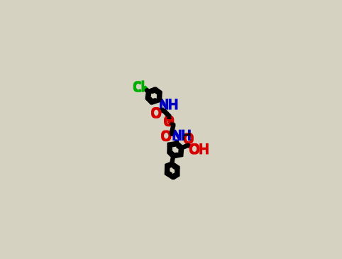 O=C(COCC(=O)Nc1ccc(-c2ccccc2)cc1C(=O)O)Nc1ccc(Cl)cc1